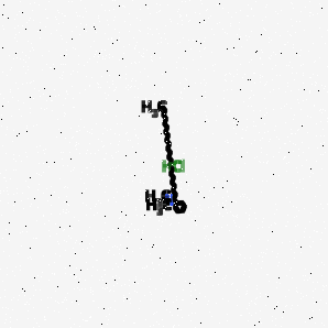 CCCCCCCCCCCCCCCCCCCCCCC(c1ccccc1)N(C)C.Cl